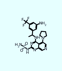 CC(Nc1nc(NS(N)(=O)=O)nc2cncc(N3CCCC3)c12)c1cc(N)cc(C(F)(F)F)c1